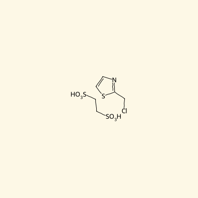 ClCc1nccs1.O=S(=O)(O)CCS(=O)(=O)O